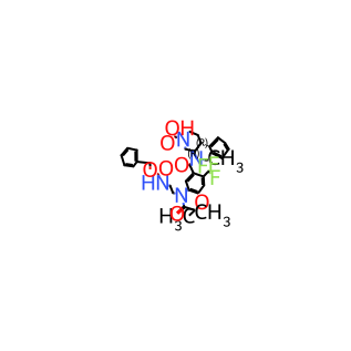 CCN(C(=O)c1cc2c(cc1C(F)(F)F)OC(C)(C)C(=O)N2CCNC(=O)OCc1ccccc1)[C@H]1CN(C(=O)O)CC[C@@H]1c1ccccc1